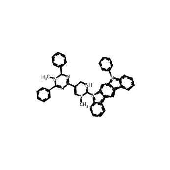 CN1C=C(C2=NC(c3ccccc3)N(C)C(c3ccccc3)=N2)CNC1n1c2ccccc2c2cc3c4ccccc4n(-c4ccccc4)c3cc21